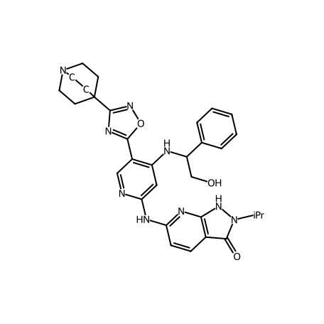 CC(C)n1[nH]c2nc(Nc3cc(NC(CO)c4ccccc4)c(-c4nc(C56CCN(CC5)CC6)no4)cn3)ccc2c1=O